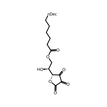 CCCCCCCCCCCCCCCC(=O)OC[C@H](O)[C@H]1OC(=O)C(=O)C1=O